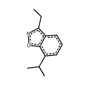 CCc1noc2c(C(C)C)cccc12